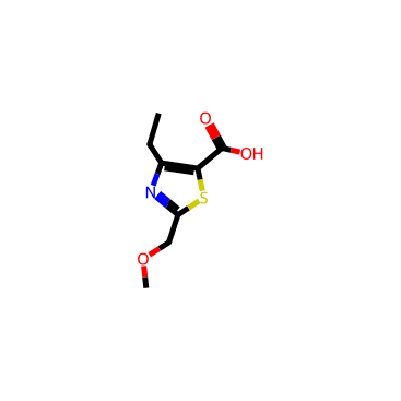 CCc1nc(COC)sc1C(=O)O